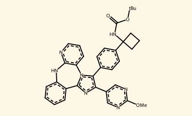 COc1ncc(-c2nc3n(c2-c2ccc(C4(NC(=O)OC(C)(C)C)CCC4)cc2)-c2cccnc2Nc2ccccc2-3)cn1